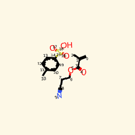 C=C(C)C(=O)OCCC#N.Cc1ccc(S(=O)(=O)O)cc1